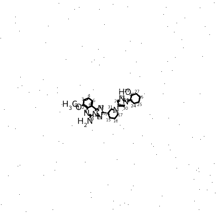 COc1cccc2c1nc(N)n1nc([C@@H]3CCCN(c4cnn(C5CCCC[C@@H]5O)c4)C3)nc21